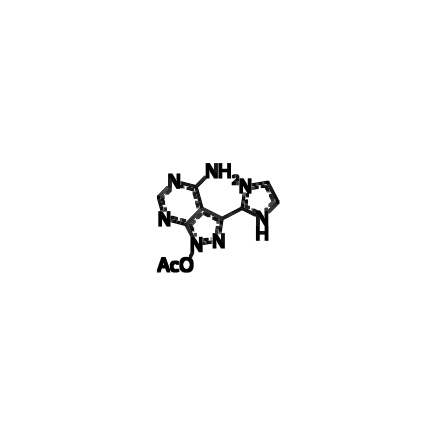 CC(=O)On1nc(-c2ncc[nH]2)c2c(N)ncnc21